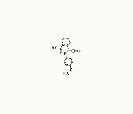 O=CC1c2ccccc2C(Br)=NN1c1ccc(OC(F)(F)F)cc1